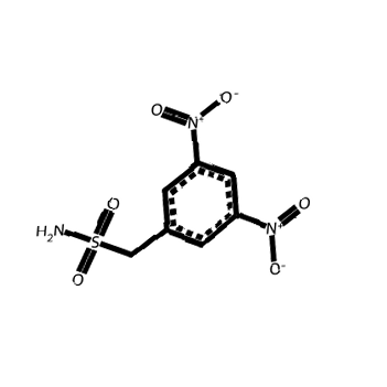 NS(=O)(=O)Cc1cc([N+](=O)[O-])cc([N+](=O)[O-])c1